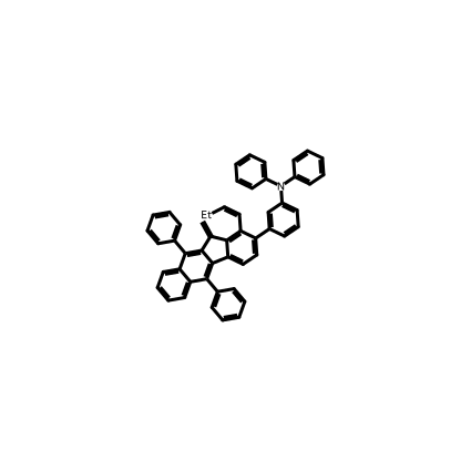 C=C1c2c(ccc(-c3cccc(N(c4ccccc4)c4ccccc4)c3)c2/C=C\CC)-c2c1c(-c1ccccc1)c1ccccc1c2-c1ccccc1